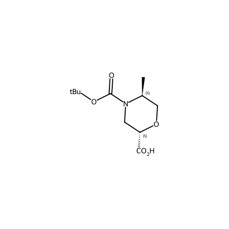 C[C@H]1CO[C@H](C(=O)O)CN1C(=O)OC(C)(C)C